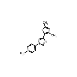 Cc1ccc(-n2cc(-c3sc(C)cc3C)nn2)cc1